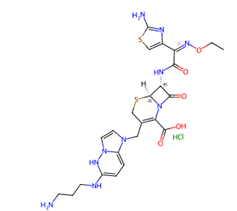 CCO/N=C(\C(=O)N[C@@H]1C(=O)N2C(C(=O)O)=C(CN3C=CN4NC(NCCCN)=CC=C34)CS[C@@H]12)c1csc(N)n1.Cl